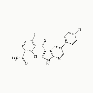 NC(=O)c1ccc(F)c(C(=O)c2c[nH]c3ncc(-c4ccc(Cl)cc4)cc23)c1Cl